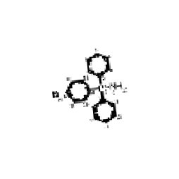 N[P+](c1ccccc1)(c1ccccc1)c1ccccc1.[Br-]